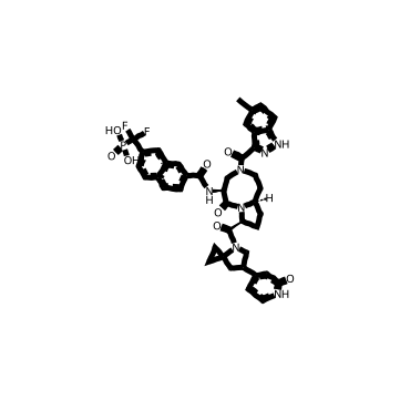 Cc1ccc2[nH]nc(C(=O)N3CC[C@H]4CC[C@@H](C(=O)N5CC(c6cc[nH]c(=O)c6)CC56CC6)N4C(=O)[C@@H](NC(=O)c4ccc5ccc(C(F)(F)P(=O)(O)O)cc5c4)C3)c2c1